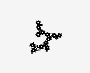 CC1(C)c2ccccc2-c2ccc(-n3c4ccccc4c4cc(-c5ccc6c(c5)c5cc(-c7ccc8c(c7)c7ccccc7n8-c7ccc(-c8nc(-c9ccccc9)c9ccccc9n8)cc7)ccc5n6-c5ccc6c(c5)C(C)(C)c5ccccc5-6)ccc43)cc21